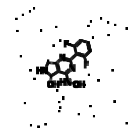 ONc1nc(-c2c(F)cccc2F)nc2c1C(O)NC2